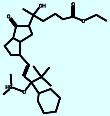 CCOC(=O)CCCC(C)(O)C1CC2C(C=CC(O[SiH](C)C)(C3CCCCC3)C(C)(C)C)CCC2C1=O